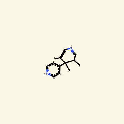 CC1=CN=CC(C)C1(C)c1ccncc1